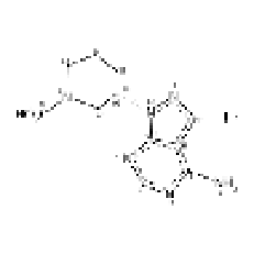 Nc1ncnc2c1c(I)nn2[C@H]1CCCN(C(=O)O)C1